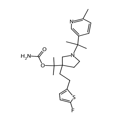 Cc1ccc(C(C)(C)N2CCC(CCc3ccc(F)s3)(C(C)(C)OC(N)=O)C2)cn1